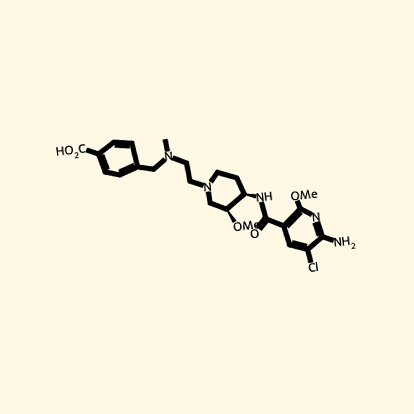 COc1nc(N)c(Cl)cc1C(=O)N[C@@H]1CCN(CCN(C)Cc2ccc(C(=O)O)cc2)C[C@@H]1OC